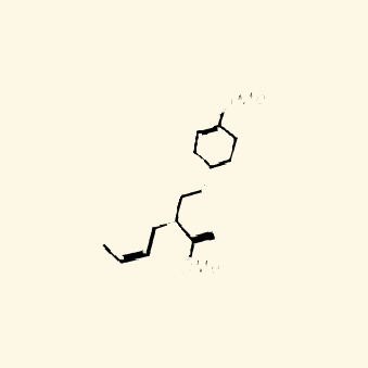 C=C(OC)[C@@H](C/C=C\C)CC[C@@H]1CC=C(OC)CC1